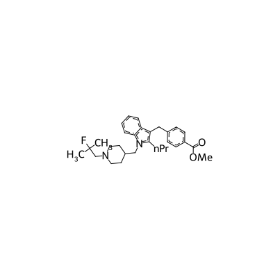 CCCc1c(Cc2ccc(C(=O)OC)cc2)c2ccccc2n1CC1CCN(CC(C)(C)F)CC1